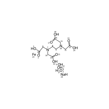 O.O.O.O=C(O)CN(CCN(CC(=O)O)CC(=O)O)CC(=O)O.[Fe].[NaH]